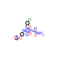 NC(=O)NCCn1c(=O)[nH]/c(=N\c2ccc(Oc3ccon3)cc2)n(Cc2ccc(Cl)cc2)c1=O